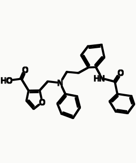 O=C(Nc1ccccc1CCN(Cc1occc1C(=O)O)c1ccccc1)c1ccccc1